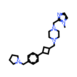 Cn1ccnc1CN1CCN(CC2CC(c3ccc(CN4CCCC4)cc3)C2)CC1